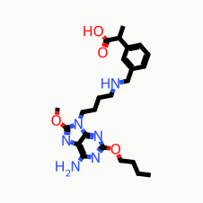 CCCCOc1nc(N)c2nc(OC)n(CCCCNCc3cccc(C(C)C(=O)O)c3)c2n1